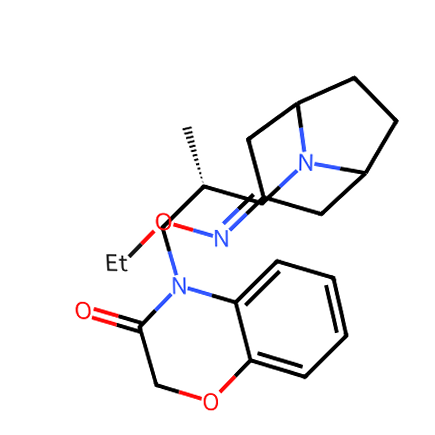 CCON=C1CC2CCC(C1)N2C[C@@H](C)CN1C(=O)COc2ccccc21